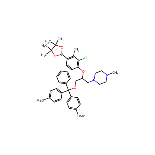 COc1ccc(C(OCC(CN2CCN(C)CC2)Oc2ccc(B3OC(C)(C)C(C)(C)O3)c(C)c2Cl)(c2ccccc2)c2ccc(OC)cc2)cc1